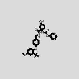 COc1ccc(Oc2ccc(CNC(=O)C3(NC(=O)Oc4cncnc4)CCC(O)C3)cc2)c(C(F)(F)F)c1